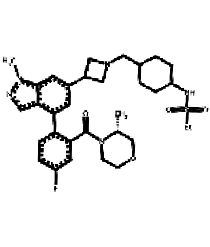 CCS(=O)(=O)NC1CCC(CN2CC(c3cc(-c4ccc(F)cc4C(=O)N4CCOC[C@H]4C)c4cnn(C)c4c3)C2)CC1